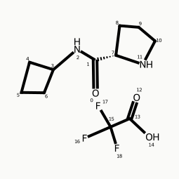 O=C(NC1CCC1)[C@@H]1CCCN1.O=C(O)C(F)(F)F